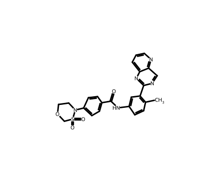 Cc1ccc(NC(=O)c2ccc(N3CCOCS3(=O)=O)cc2)cc1-c1ncc2ncccc2n1